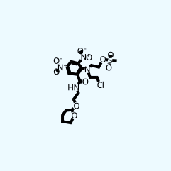 CS(=O)(=O)OCCN(CCCl)c1c(C(=O)NCCOC2CCCCO2)cc([N+](=O)[O-])cc1[N+](=O)[O-]